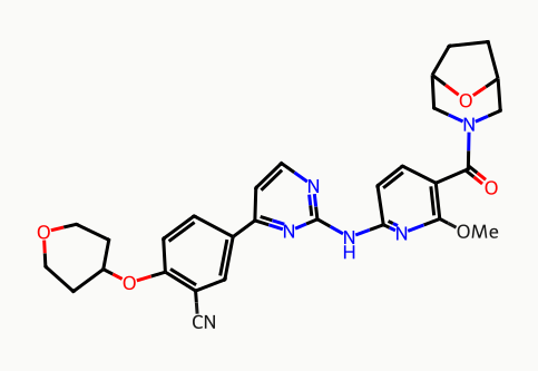 COc1nc(Nc2nccc(-c3ccc(OC4CCOCC4)c(C#N)c3)n2)ccc1C(=O)N1CC2CCC(C1)O2